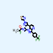 C=C(F)C(=O)N1CC(n2nc(-c3ccc(C(F)(F)F)cc3)c3nccc(-c4cnn(-c5cscn5)c4)c32)C1